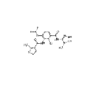 CN1NNN=C1NC(=O)c1ccc(OC(F)F)c(NC(=O)c2ccnn2C)c1Cl